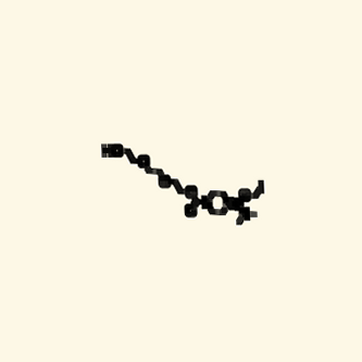 CN(C)P(OCI)N1CCN(C(=O)OCCOCCOCCO)CC1